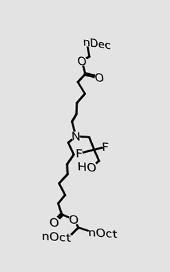 CCCCCCCCCCCOC(=O)CCCCCN(CCCCCCCC(=O)OC(CCCCCCCC)CCCCCCCC)CC(F)(F)CO